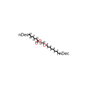 CCCCCCCCCCCCCCCCCCOCCOC(=O)CCCCCCCCCCCCCCC